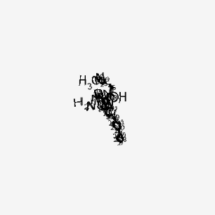 Cn1cc([C@H]2C[C@@H]2C(O)Nc2nn(C3(CC#N)CCN(Cc4ccc(-c5ccccc5)cc4)CC3)cc2C(N)=O)cn1